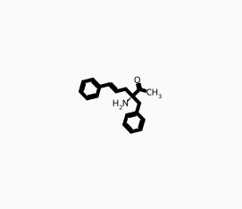 CC(=O)[C@](N)(CC=Cc1ccccc1)Cc1ccccc1